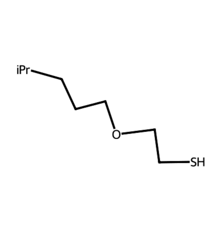 CC(C)CCCOCCS